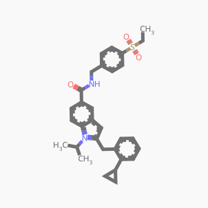 CCS(=O)(=O)c1ccc(CNC(=O)c2ccc3c(c2)cc(Cc2ccccc2C2CC2)n3C(C)C)cc1